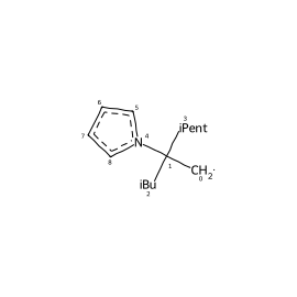 [CH2]C(C(C)CC)(C(C)CCC)n1cccc1